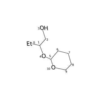 CCC(CO)OC1CCCCO1